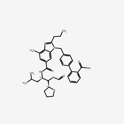 CCCc1nc2c(C)cc(C(=O)N[C@H](CC(C)C)C(SC=O)[C@@H]3CCCO3)cc2n1Cc1ccc(-c2ccccc2C(=O)O)cc1